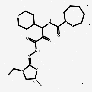 CCN1C[C@@H](C)SC1=NNC(=O)C(=O)C(NC(=O)C1CCCCCC1)C1CCOCC1